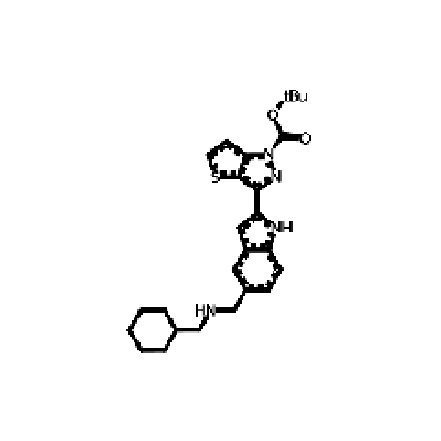 CC(C)(C)OC(=O)n1nc(-c2cc3cc(CNCC4CCCCC4)ccc3[nH]2)c2sccc21